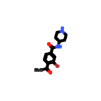 COC(=O)c1ccc(C(=O)NC2CCNCC2)cc1Br